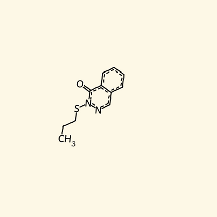 CCCSn1ncc2ccccc2c1=O